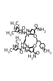 CCn1nc(C)cc1C(=O)Nc1nc2cc(C(N)=O)cc3c2n1C/C=C/Cn1c(NC(=O)c2cc(C)nn2CC)nc2cc(C(N)=O)cc(c21)OCC(CC1CCN(C)CC1)CO3